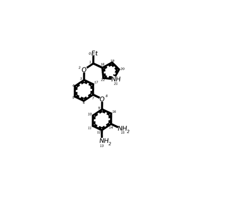 CCC(Oc1cccc(Oc2ccc(N)c(N)c2)c1)c1cc[nH]c1